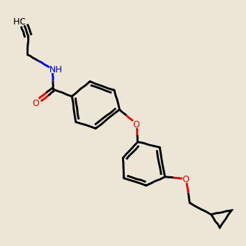 C#CCNC(=O)c1ccc(Oc2cccc(OCC3CC3)c2)cc1